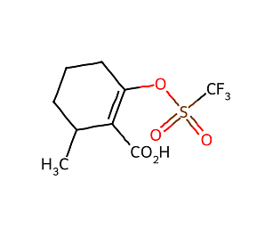 CC1CCCC(OS(=O)(=O)C(F)(F)F)=C1C(=O)O